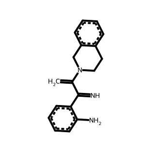 C=C(C(=N)c1ccccc1N)N1CCc2ccccc2C1